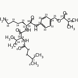 CC(C)CCC(=O)N[C@H](C(=O)N[C@@H](CCCCN)C(=O)Nc1ccc(COC(=O)C(C)C)cc1)C(C)C